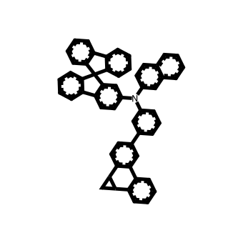 c1cc(-c2ccc3c(c2)-c2ccccc2C2CC32)cc(N(c2ccc3c(c2)C2(c4ccccc4-c4ccccc42)c2ccccc2-3)c2ccc3ccccc3c2)c1